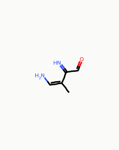 C/C(=C/N)C(=N)C=O